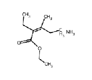 CCOC(=O)C(CC)=C(C)CC.N